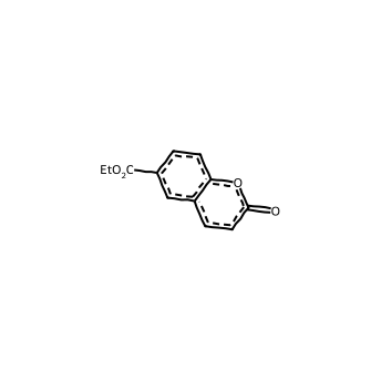 CCOC(=O)c1ccc2oc(=O)ccc2c1